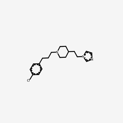 Clc1ccc(CCCN2CCC(CCn3ccnc3)CC2)cc1